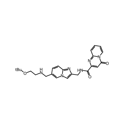 CC(C)(C)OCCNCc1ccc2nc(CNC(=O)c3cc(=O)n4ccccc4n3)cn2c1